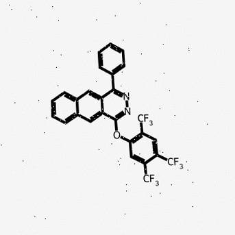 FC(F)(F)c1cc(C(F)(F)F)c(C(F)(F)F)cc1Oc1nnc(-c2ccccc2)c2cc3ccccc3cc12